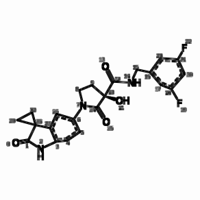 O=C1Nc2ccc(N3CC[C@](O)(C(=O)NCc4cc(F)cc(F)c4)C3=O)cc2C12CC2